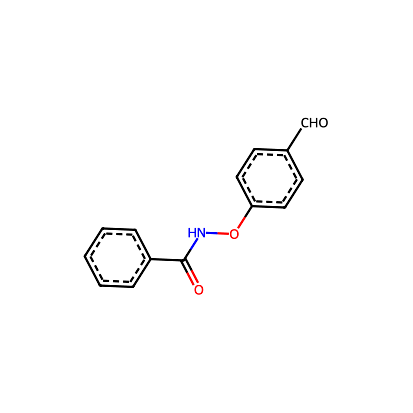 O=Cc1ccc(ONC(=O)c2ccccc2)cc1